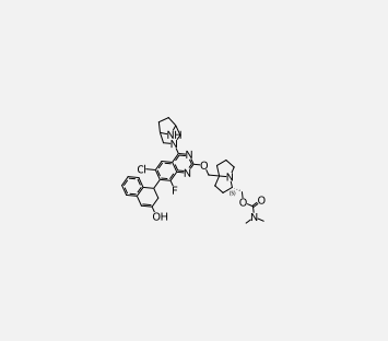 CN(C)C(=O)OC[C@@H]1CCC2(COc3nc(N4CC5CCC(C4)N5)c4cc(Cl)c(C5CC(O)=Cc6ccccc65)c(F)c4n3)CCCN12